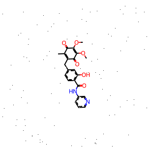 COC1=C(OC)C(=O)C(Cc2ccc(C(=O)Nc3cccnc3)c(O)c2)=C(C)C1=O